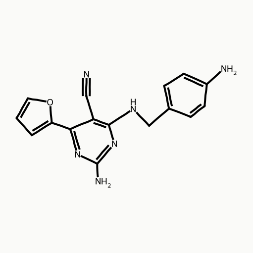 N#Cc1c(NCc2ccc(N)cc2)nc(N)nc1-c1ccco1